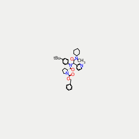 CN(C(=O)C(c1cccnc1)N(C(=O)[C@H]1CCCN1C(=O)OCc1ccccc1)c1ccc(C(C)(C)C)cc1)C1CCCCC1